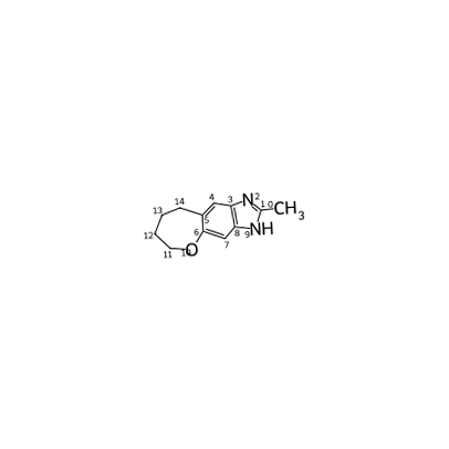 Cc1nc2cc3c(cc2[nH]1)OCCCC3